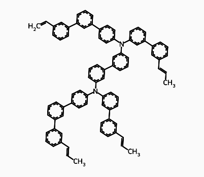 C=Cc1cccc(-c2cccc(-c3ccc(N(c4cccc(-c5cccc(/C=C/C)c5)c4)c4cccc(-c5cccc(N(c6ccc(-c7cccc(-c8cccc(/C=C/C)c8)c7)cc6)c6cccc(-c7cccc(/C=C/C)c7)c6)c5)c4)cc3)c2)c1